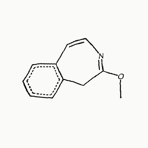 COC1=NC=Cc2ccccc2C1